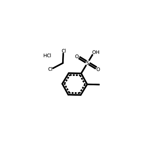 Cc1ccccc1S(=O)(=O)O.Cl.ClCCl